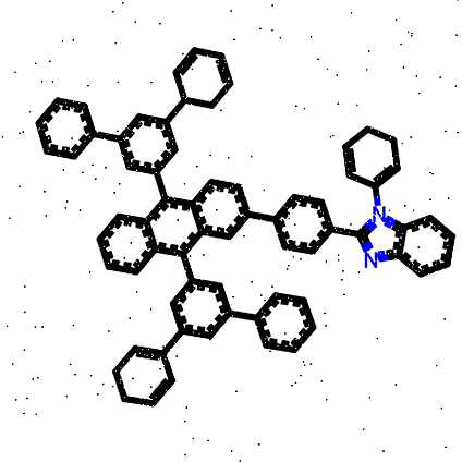 C1=CCC(c2cc(-c3ccccc3)cc(-c3c4ccccc4c(-c4cc(C5=CCCC=C5)cc(-c5ccccc5)c4)c4cc(-c5ccc(-c6nc7ccccc7n6C6=CCCC=C6)cc5)ccc34)c2)C=C1